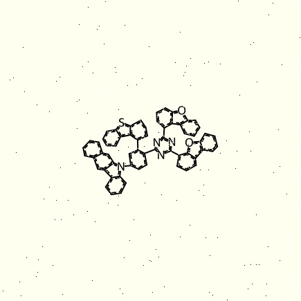 c1ccc2cc3c(cc2c1)c1ccccc1n3-c1ccc(-c2nc(-c3cccc4c3oc3ccccc34)nc(-c3cccc4oc5ccccc5c34)n2)c(-c2cccc3sc4ccccc4c23)c1